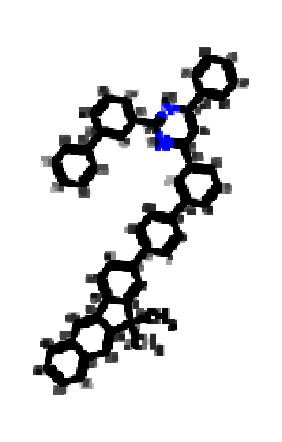 CC1(C)c2cc(-c3ccc(-c4cccc(-c5cc(-c6ccccc6)nc(-c6cccc(-c7ccccc7)c6)n5)c4)cc3)ccc2-c2cc3ccccc3cc21